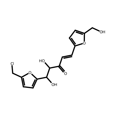 O=C(C=Cc1ccc(CO)o1)C(O)C(O)c1ccc(CCl)o1